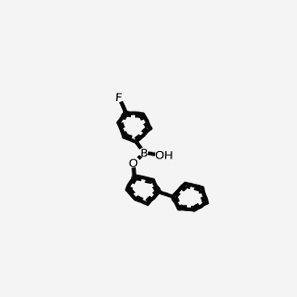 OB(Oc1cccc(-c2ccccc2)c1)c1ccc(F)cc1